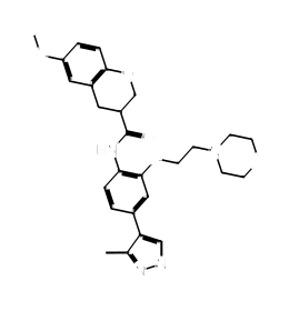 COc1ccc2c(c1)CC(C(=O)Nc1ccc(-c3c[nH]nc3C)cc1SCCN1CCOCC1)CO2